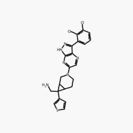 NCC1(c2ccsc2)C2CCN(c3cnc4c(-c5cccc(Cl)c5Cl)n[nH]c4n3)CC21